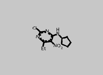 CCc1nc(Cl)nc(NC2CCCC2)c1[N+](=O)[O-]